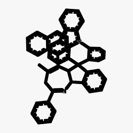 CC1=C(c2cccc3ccccc23)C2C(N=C(c3ccccc3)C1)c1ccccc1C21c2ccccc2-n2c3ccccc3c3cccc1c32